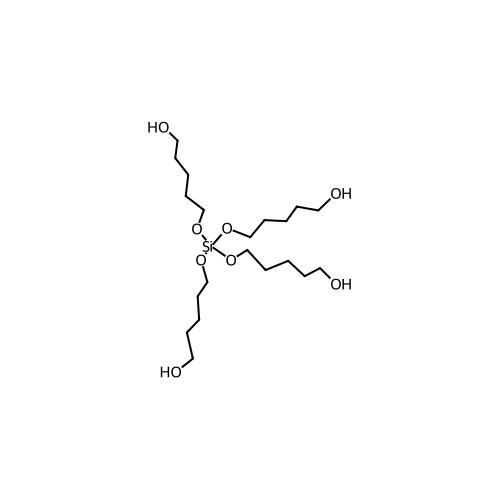 OCCCCCO[Si](OCCCCCO)(OCCCCCO)OCCCCCO